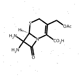 CC(=O)OCC1=C(C(=O)O)N2C(=O)C(N)(N)[C@H]2SC1